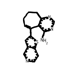 Nc1ncnc2c1C(c1cc3cnccc3s1)=CCCC2